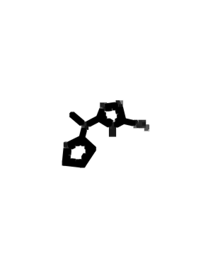 CN(c1nnc(N)[nH]1)c1cccs1